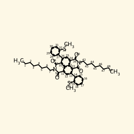 CCCCCCCCN1C(=O)c2cc(-c3ccccc3SC)c3c4c(cc(-c5ccccc5SC)c(c24)C1=O)C(=O)N(CCCCCCCC)C3=O